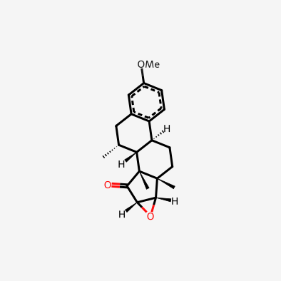 COc1ccc2c(c1)C[C@@H](C)[C@@H]1[C@@H]2CC[C@]2(C)[C@@H]3O[C@@H]3C(=O)[C@]12C